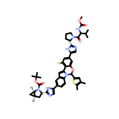 COC(=O)NC(C(=O)N1CCC[C@H]1c1ncc(-c2cc(F)c3c(c2)OC(c2cc(C)c(C)s2)n2c-3cc3cc(-c4cnc([C@@H]5C[C@H]6C[C@H]6N5C(=O)OC(C)(C)C)[nH]4)ccc32)[nH]1)C(C)C